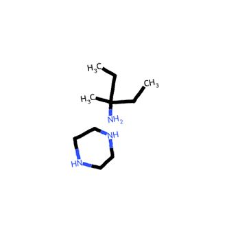 C1CNCCN1.CCC(C)(N)CC